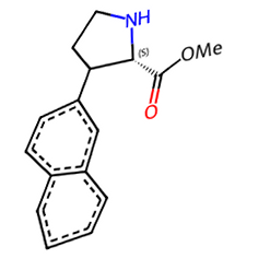 COC(=O)[C@H]1NCCC1c1ccc2ccccc2c1